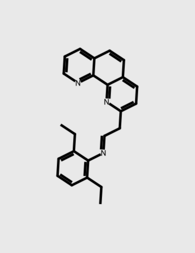 CCc1cccc(CC)c1N=CCc1ccc2ccc3cccnc3c2n1